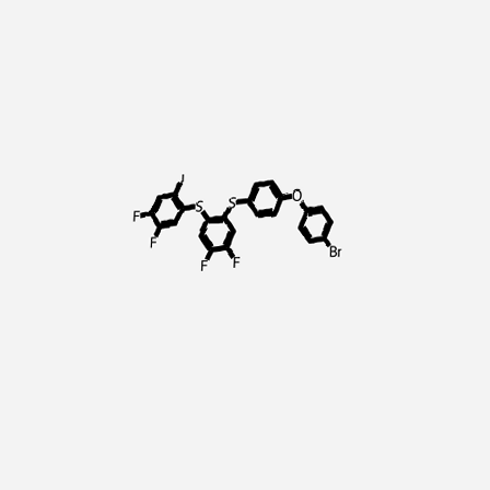 Fc1cc(I)c(Sc2cc(F)c(F)cc2Sc2ccc(Oc3ccc(Br)cc3)cc2)cc1F